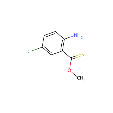 COC(=S)c1cc(Cl)ccc1N